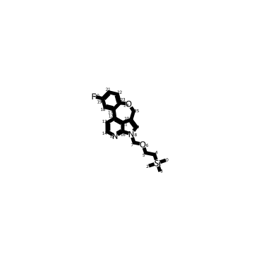 C[Si](C)(C)CCOCn1cc2c3c(ccnc31)-c1cc(F)ccc1OC2